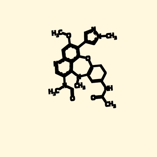 COc1cc2ncc(N(C)C=O)c3c2c(c1-c1cnn(C)c1)OC1=C(C=C(NC(C)=O)CC1)N3C